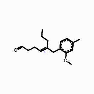 CCC/C(=C\CCC=O)Cc1ccc(C)cc1OC